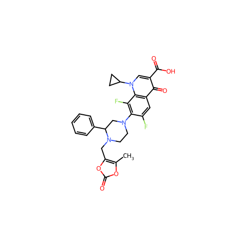 Cc1oc(=O)oc1CN1CCN(c2c(F)cc3c(=O)c(C(=O)O)cn(C4CC4)c3c2F)CC1c1ccccc1